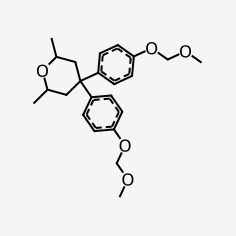 COCOc1ccc(C2(c3ccc(OCOC)cc3)CC(C)OC(C)C2)cc1